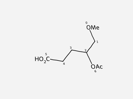 COCC(CCC(=O)O)OC(C)=O